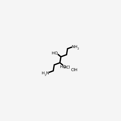 Cl.Cl.NCCC(O)C(O)CCN